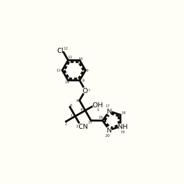 CC(C)(C#N)C(O)(COc1ccc(Cl)cc1)Cc1nc[nH]n1